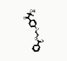 CC(C)(O)C(=O)c1ccc(OCCOC(=O)c2ccccc2)cc1